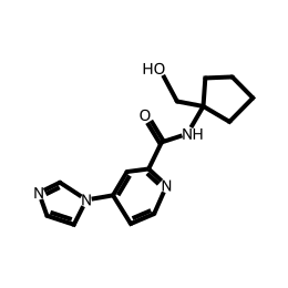 O=C(NC1(CO)CCCC1)c1cc(-n2ccnc2)ccn1